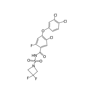 O=C(NS(=O)(=O)N1CC(F)(F)C1)c1cc(Cl)c(Oc2ccc(Cl)c(Cl)c2)cc1F